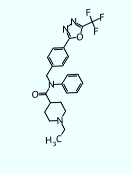 CCN1CCC(C(=O)N(Cc2ccc(-c3nnc(C(F)(F)F)o3)cc2)c2ccccc2)CC1